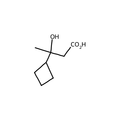 CC(O)(CC(=O)O)C1CCC1